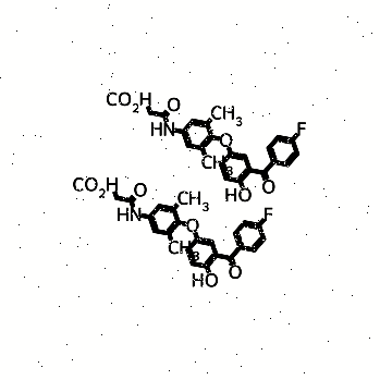 Cc1cc(NC(=O)CC(=O)O)cc(C)c1Oc1ccc(O)c(C(=O)c2ccc(F)cc2)c1.Cc1cc(NC(=O)CC(=O)O)cc(C)c1Oc1ccc(O)c(C(=O)c2ccc(F)cc2)c1